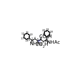 CC(=O)N[C@H](C/C(C(=O)O)=C(/C[C@@H](NC(C)=O)c1ccccc1)C(=O)O)c1ccccc1